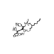 CCCCCCC(CCCC)COC(=O)N(C)C[C@H](O)[C@@H](O)[C@H](O)[C@H](O)CO